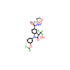 CS1(NC(=O)c2ccc3c(c2)[C@@](O)(C(F)(F)F)C(=O)N3c2cccc(OC(F)F)c2)CCOO1